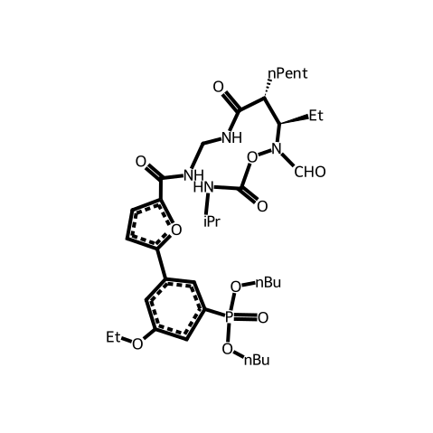 CCCCC[C@@H](C(=O)NCNC(=O)c1ccc(-c2cc(OCC)cc(P(=O)(OCCCC)OCCCC)c2)o1)[C@@H](CC)N(C=O)OC(=O)NC(C)C